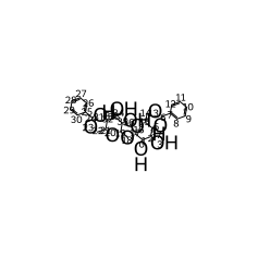 OC1C(O)[C@@H]2OC(c3ccccc3)OCC2O[C@H]1O[C@H]1OC2COC(c3ccccc3)O[C@@H]2C(O)C1O